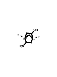 NC1C[C@H]2C[C@@H]1CC2O